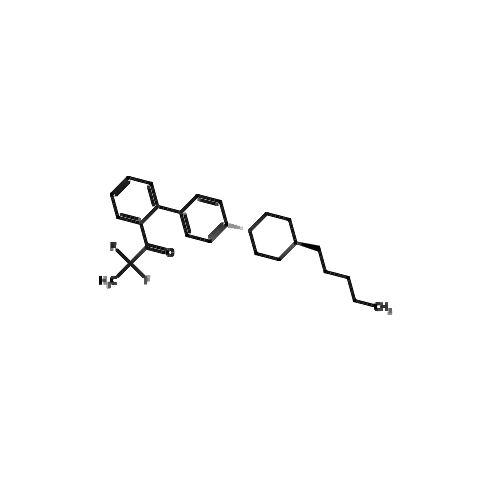 CCCCC[C@H]1CC[C@H](c2ccc(-c3ccccc3C(=O)C(C)(F)F)cc2)CC1